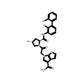 NC(=O)c1cn(CC(=O)N2C[C@H](F)C[C@H]2C(=O)Nc2cccc(-c3ccccc3Cl)c2F)c2sccc12